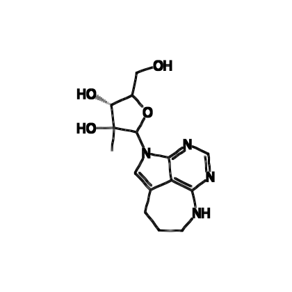 CC1(O)C(n2cc3c4c(ncnc42)NCCC3)OC(CO)[C@H]1O